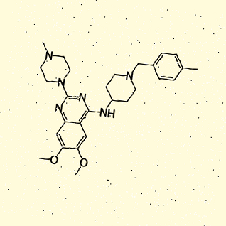 COc1cc2nc(N3CCN(C)CC3)nc(NC3CCN(Cc4ccc(C)cc4)CC3)c2cc1OC